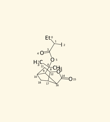 CCC(I)C(=O)OC(C)(C)C1C2CC3OC(=O)C1C3C2